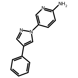 Nc1ccc(-n2cc(-c3ccccc3)cn2)cn1